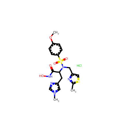 COc1ccc(S(=O)(=O)N(Cc2csc(C)n2)C(Cc2cn(C)cn2)C(=O)NO)cc1.Cl